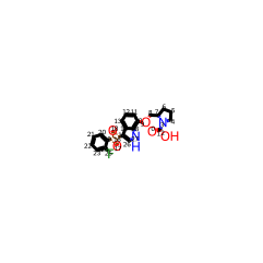 O=C(O)N1CCCC1COc1cccc2c(S(=O)(=O)c3ccccc3F)c[nH]c12